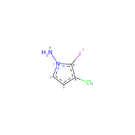 Nn1ccc(Cl)c1I